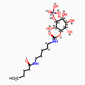 O=C(O)CCCC(=O)NCCCCCNC(=O)O[C@H]1[C@@H](O)[C@@H](OP(=O)(O)O)[C@H](O)[C@@H](O)[C@@H]1O